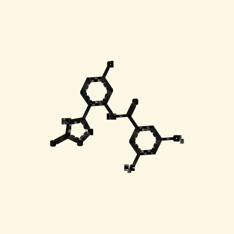 O=C(Nc1cc(Cl)ccc1-c1noc(=O)[nH]1)c1cc(C(F)(F)F)cc(C(F)(F)F)c1